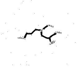 CCCCCCCCCCCCN(CCCCCC)CC(OC)OC